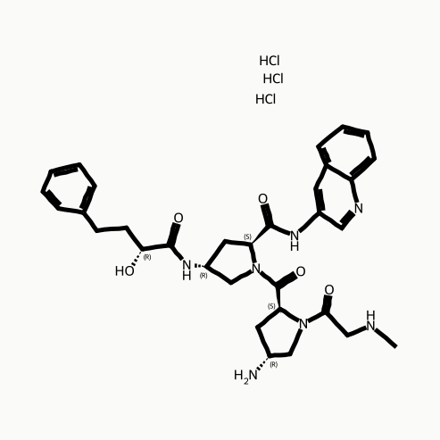 CNCC(=O)N1C[C@H](N)C[C@H]1C(=O)N1C[C@H](NC(=O)[C@H](O)CCc2ccccc2)C[C@H]1C(=O)Nc1cnc2ccccc2c1.Cl.Cl.Cl